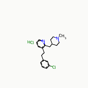 CN1CCC(Cc2ncccc2CCc2cccc(Cl)c2)CC1.Cl